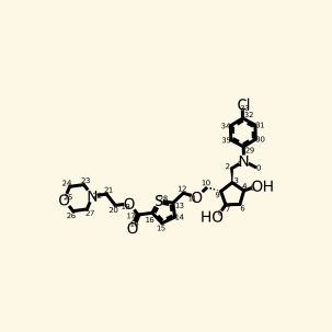 CN(C[C@H]1C(O)CC(O)[C@@H]1COCc1ccc(C(=O)OCCN2CCOCC2)s1)c1ccc(Cl)cc1